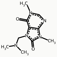 CN(C)Cn1c(=O)n(C)c2ncn(C)c(=O)c21